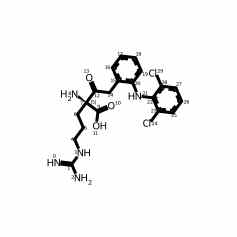 N=C(N)NCCC[C@@](N)(C(=O)O)C(=O)Cc1ccccc1Nc1c(Cl)cccc1Cl